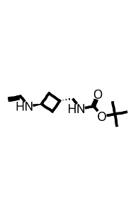 C=CN[C@H]1C[C@H](CNC(=O)OC(C)(C)C)C1